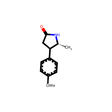 COc1ccc(C2CC(=O)N[C@@H]2C)cc1